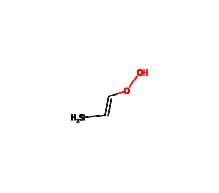 OOC=C[SiH3]